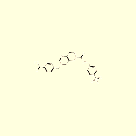 CS(=O)(=O)c1ccc(COC(=O)N2CCC3=C(CN(Cc4ccc(C(=O)O)cc4)C=N3)C2)cc1